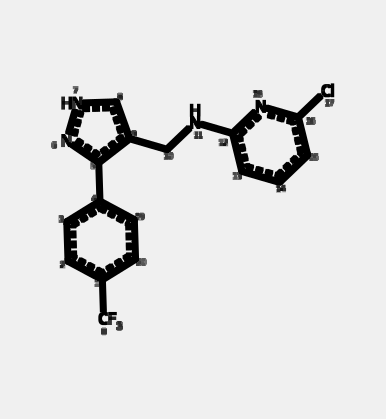 FC(F)(F)c1ccc(-c2n[nH]cc2CNc2cccc(Cl)n2)cc1